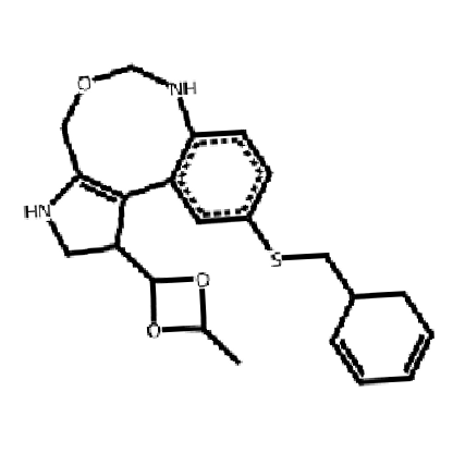 CC1OC(C2CNC3=C2c2cc(SCC4C=CC=CC4)ccc2NCOC3)O1